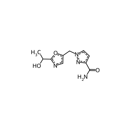 CC(O)c1ncc(Cn2ccc(C(N)=O)n2)o1